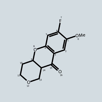 COc1cc2c(cc1F)OC1CCOCC1C2=O